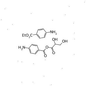 CCOC(=O)c1ccc(N)cc1.Nc1ccc(C(=O)OC(=O)C(O)CO)cc1